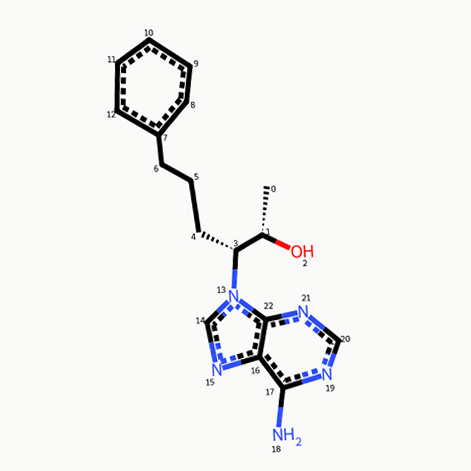 C[C@H](O)[C@@H](CCCc1ccccc1)n1cnc2c(N)ncnc21